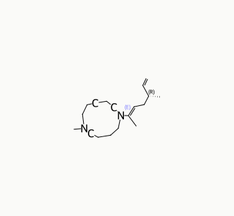 C=C[C@H](C)C/C=C(\C)N1CCCCCN(C)CCCC1